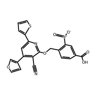 N#Cc1c(-c2ccoc2)cc(-c2cccs2)nc1OCc1ccc(C(=O)O)cc1[N+](=O)[O-]